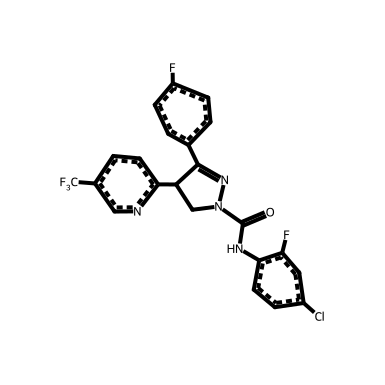 O=C(Nc1ccc(Cl)cc1F)N1CC(c2ccc(C(F)(F)F)cn2)C(c2ccc(F)cc2)=N1